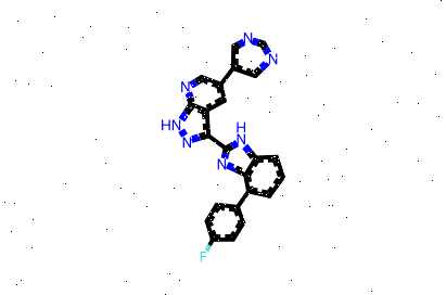 Fc1ccc(-c2cccc3[nH]c(-c4n[nH]c5ncc(-c6cncnc6)cc45)nc23)cc1